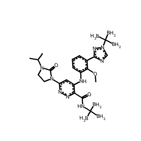 BC(B)(B)NC(=O)c1nnc(N2CCN(C(C)C)C2=O)cc1Nc1cccc(-c2ncn(C(B)(B)B)n2)c1OC